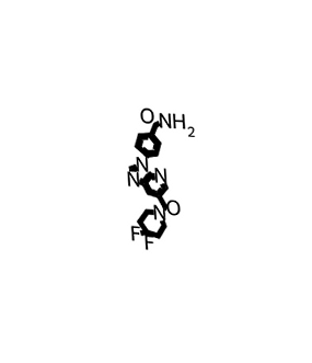 NC(=O)c1ccc(-n2cnc3cc(C(=O)N4CCC(F)(F)CC4)cnc32)cc1